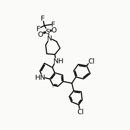 O=S(=O)(N1CCC(NC2C=CNc3[c]cc(C(c4ccc(Cl)cc4)c4ccc(Cl)cc4)cc32)CC1)C(F)(F)F